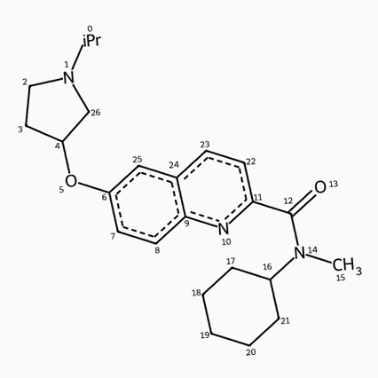 CC(C)N1CCC(Oc2ccc3nc(C(=O)N(C)C4CCCCC4)ccc3c2)C1